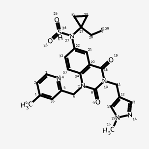 Cc1ccnc(Cn2c(=O)n(Cc3cnn(C)c3)c(=O)c3cc(N([SH](=O)=O)C4(CF)CC4)ccc32)c1